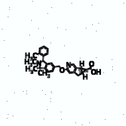 Cc1ccccc1C1c2cc(COc3cc4c(cn3)[C@H]3[C@@H](C4)[C@@H]3C(=O)O)ccc2C(C)(C)N1C